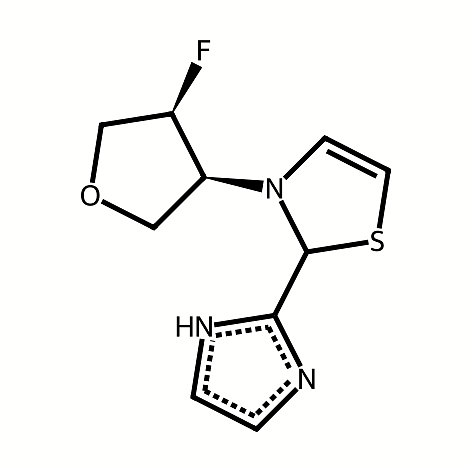 F[C@@H]1COC[C@@H]1N1C=CSC1c1ncc[nH]1